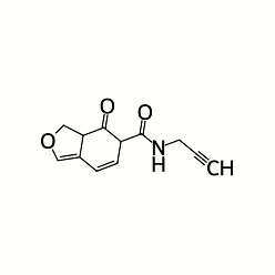 C#CCNC(=O)C1C=CC2=COCC2C1=O